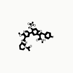 CNC(=O)c1c(-c2ccc(F)cc2)oc2cc(N(C)S(C)(=O)=O)c(-c3cnc(OC)c(-c4nc5c(s4)CCCN5C(C)=O)c3)cc12